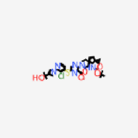 COC(=O)c1nc(Sc2ccnc(N3CC(C(C)(C)O)C3)c2Cl)cnc1N1CCC2(CC1)CCC1(CC1)C2NC(=O)OC(C)(C)C